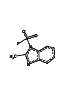 Cc1nc2ccccc2n1S(=O)(=O)F